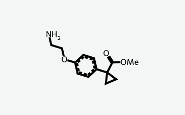 COC(=O)C1(c2ccc(OCCN)cc2)CC1